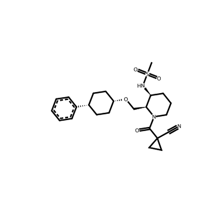 CS(=O)(=O)N[C@H]1CCCN(C(=O)C2(C#N)CC2)[C@H]1CO[C@H]1CC[C@@H](c2ccccc2)CC1